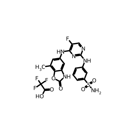 Cc1cc(Nc2nc(Nc3cccc(S(N)(=O)=O)c3)ncc2F)cc2[nH]c(=O)oc12.O=C(O)C(F)(F)F